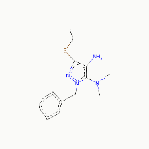 CCSc1nn(Cc2ccccc2)c(N(C)C)c1N